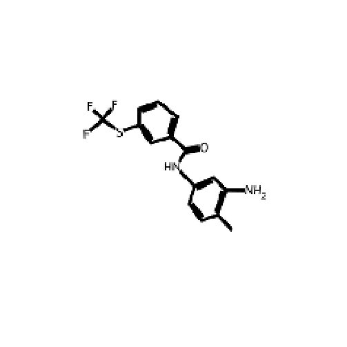 Cc1ccc(NC(=O)c2cccc(SC(F)(F)F)c2)cc1N